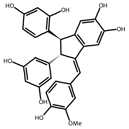 COc1cc(/C=C2/c3cc(O)c(O)cc3[C@H](c3ccc(O)cc3O)[C@H]2c2cc(O)cc(O)c2)ccc1O